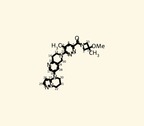 COC1(C)CN(C(=O)c2cc(C)c(N3CCc4ncc(N5CCCn6nccc65)cc4C3)nn2)C1